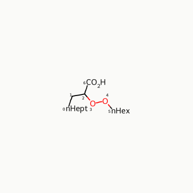 CCCCCCCCC(OOCCCCCC)C(=O)O